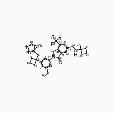 CCc1cc(C2(Cc3nncn3C)CCC2)cc(N2Cc3c(cc(CNC4(C)CCC4)cc3C(F)(F)F)C2=O)n1